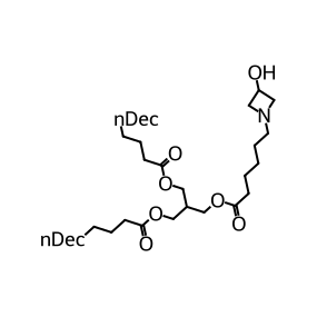 CCCCCCCCCCCCCC(=O)OCC(COC(=O)CCCCCCCCCCCCC)COC(=O)CCCCCN1CC(O)C1